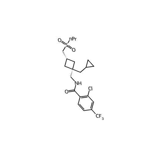 CCCS(=O)(=O)C[C@H]1C[C@](CNC(=O)c2ccc(C(F)(F)F)cc2Cl)(CC2CC2)C1